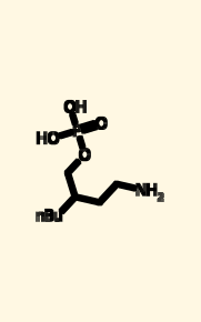 CCCCC(CCN)COP(=O)(O)O